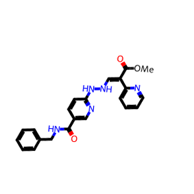 COC(=O)C(=CNNc1ccc(C(=O)NCc2ccccc2)cn1)c1ccccn1